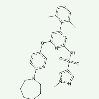 Cc1cccc(C)c1-c1cc(Oc2ccc(N3CCCCCC3)cc2)nc(NS(=O)(=O)c2cnn(C)c2)n1